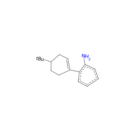 CC(C)(C)C1CC=C(c2ccccc2N)CC1